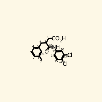 Cc1cccc(CC(CC(=O)O)C(=O)Nc2ccc(Cl)c(Cl)c2)c1